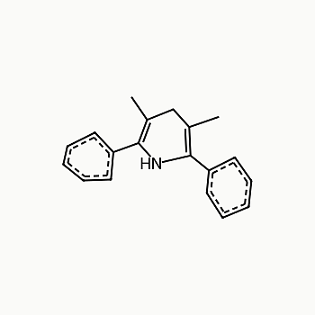 CC1=C(c2ccccc2)NC(c2ccccc2)=C(C)C1